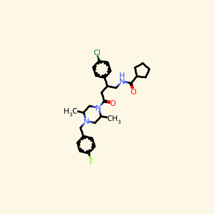 CC1CN(C(=O)CC(CNC(=O)C2CCCC2)c2ccc(Cl)cc2)C(C)CN1Cc1ccc(F)cc1